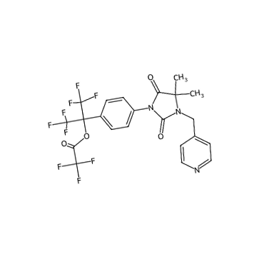 CC1(C)C(=O)N(c2ccc(C(OC(=O)C(F)(F)F)(C(F)(F)F)C(F)(F)F)cc2)C(=O)N1Cc1ccncc1